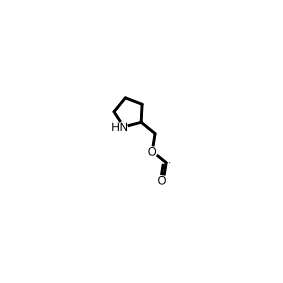 O=[C]OCC1CCCN1